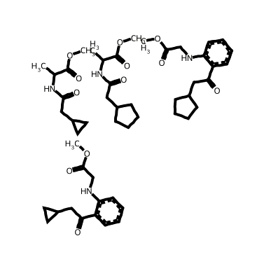 COC(=O)C(C)NC(=O)CC1CC1.COC(=O)C(C)NC(=O)CC1CCCC1.COC(=O)CNc1ccccc1C(=O)CC1CC1.COC(=O)CNc1ccccc1C(=O)CC1CCCC1